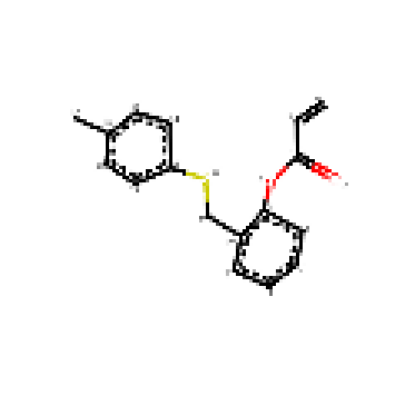 C=CC(=O)Oc1ccccc1CSc1ccc(C)cc1